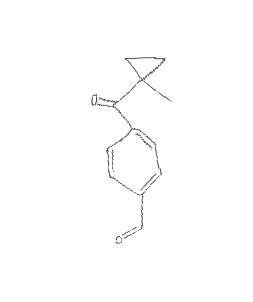 CC1(C(=O)c2ccc(C=O)cc2)CC1